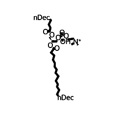 CCCCCCCCCCCCCCCCCCCCCCCC(=O)O[C@H](COC(=O)CCCCCCCCCCCCC)COP(=O)(O)OCC[N+](C)(C)C